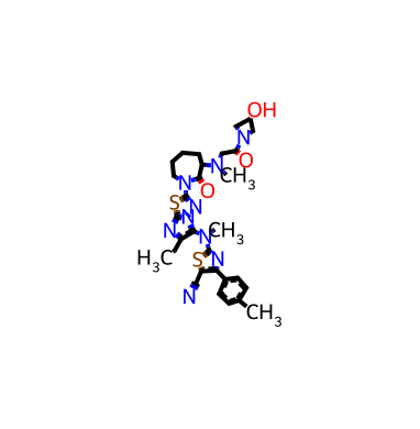 CCc1nc2sc(N3CCCCC(N(C)CC(=O)N4CC(O)C4)C3=O)nn2c1N(C)c1nc(-c2ccc(C)cc2)c(C#N)s1